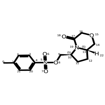 Cc1ccc(S(=O)(=O)OC[C@@H]2CC[C@H]3COCC(=O)N32)cc1